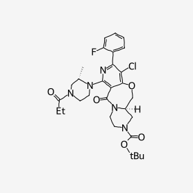 CCC(=O)N1CCN(c2nc(-c3ccccc3F)c(Cl)c3c2C(=O)N2CCN(C(=O)OC(C)(C)C)C[C@@H]2CO3)[C@@H](C)C1